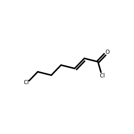 O=C(Cl)C=CCCCCl